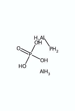 O=P(O)(O)O.[AlH2][PH2].[AlH3]